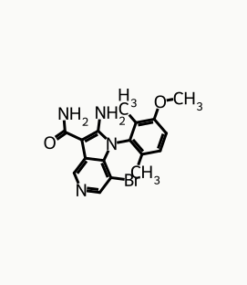 COc1ccc(C)c(-n2c(N)c(C(N)=O)c3cncc(Br)c32)c1C